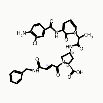 CC(C(=O)N[C@H]1C[C@@H](C(=O)O)N(C(=O)/C=C/C(=O)NCc2ccccc2)C1)n1cccc(NC(=O)c2ccc(N)c(Cl)c2)c1=O